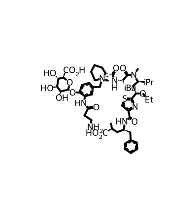 CCO[C@H](C[C@H](C(C)C)N(C)C(=O)[C@@H](NC(=O)[C@H]1CCCC[N+]1(C)Cc1ccc(O[C@@H]2O[C@H](C(=O)O)[C@@H](O)[C@H](O)[C@H]2O)c(NC(=O)CCN)c1)[C@@H](C)CC)c1nc(C(=O)N[C@@H](Cc2ccccc2)C[C@H](C)C(=O)O)cs1